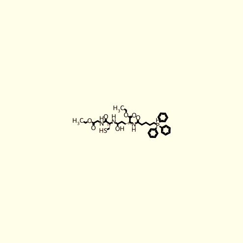 CCOC(=O)CNC(=O)[C@@H](CS)NC(O)CC[C@@H](NC(=O)CCCC[PH](c1ccccc1)(c1ccccc1)c1ccccc1)C(=O)OCC